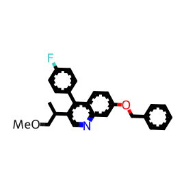 COCC(C)c1cnc2cc(OCc3ccccc3)ccc2c1-c1ccc(F)cc1